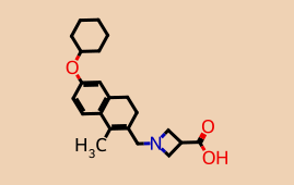 CC1=C(CN2CC(C(=O)O)C2)CCc2cc(OC3CCCCC3)ccc21